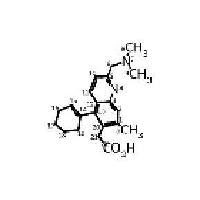 Cc1cc2nc(CN(C)C)ccc2c(C2=CCCCC2)c1CC(=O)O